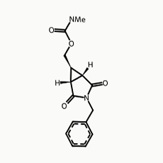 CNC(=O)OC[C@@H]1[C@H]2C(=O)N(Cc3ccccc3)C(=O)[C@@H]12